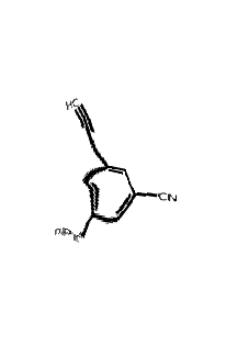 C#Cc1cc(C#N)cc(CCC)c1